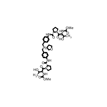 COC(=O)N[C@H](C(=O)N1CCC[C@H]1C(=O)Nc1ccc(CN(Cc2ccc(NC(=O)[C@@H]3CCCN3C(=O)[C@@H](NC(=O)OC)C(C)O)cc2)[C@@H]2CCOC2)cc1)C(C)O